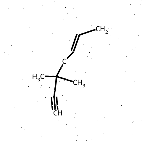 C#CC(C)(C)CC=C[CH2]